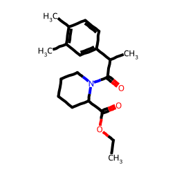 CCOC(=O)C1CCCCN1C(=O)C(C)c1ccc(C)c(C)c1